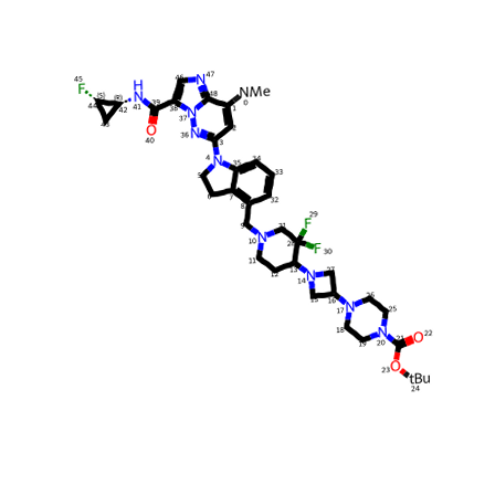 CNc1cc(N2CCc3c(CN4CCC(N5CC(N6CCN(C(=O)OC(C)(C)C)CC6)C5)C(F)(F)C4)cccc32)nn2c(C(=O)N[C@@H]3C[C@@H]3F)cnc12